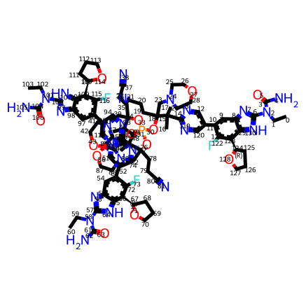 CCN(C(N)=O)c1nc2cc(-c3cnc(C(C)(C)C(CCC#N)(CN4CCOCC4)OP(=O)(OC(CCC#N)(CN4CCOCC4)C(C)(C)c4ncc(-c5cc6nc(N(CC)C(N)=O)[nH]c6c([C@H]6CCCO6)c5F)cn4)OC(CCC#N)(CN4CCOCC4)C(C)(C)c4ncc(-c5cc6nc(N(CC)C(N)=O)[nH]c6c([C@H]6CCCO6)c5F)cn4)nc3)c(F)c([C@H]3CCCO3)c2[nH]1